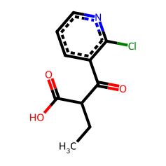 CCC(C(=O)O)C(=O)c1cccnc1Cl